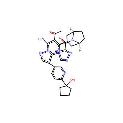 CC(=O)c1c([C@H]2C[C@H]3CC[C@@H](C2)N3C(=O)c2nnc[nH]2)nc2c(-c3ccc(C4(O)CCCC4)nc3)cnn2c1N